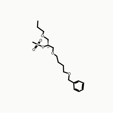 CCCOC[C@@H](COCCCCOCc1ccccc1)OS(C)(=O)=O